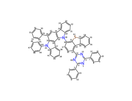 c1ccc(-c2nc(-c3ccccc3)nc(-c3ccc(-n4c5ccccc5c5cc(-c6ccccc6)c6c(c7ccccc7n6-c6ccccc6)c54)c4sc5ccccc5c34)n2)cc1